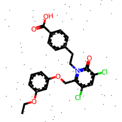 CCOc1cccc(OCc2c(Cl)cc(Cl)c(=O)n2CCc2ccc(C(=O)O)cc2)c1